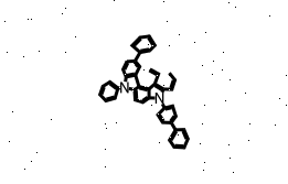 C=Cc1c(/C=C\C)n(-c2ccc(-c3ccccc3)cc2)c2ccc3c(c4cc(-c5ccccc5)ccc4n3-c3ccccc3)c12